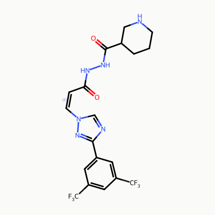 O=C(/C=C\n1cnc(-c2cc(C(F)(F)F)cc(C(F)(F)F)c2)n1)NNC(=O)C1CCCNC1